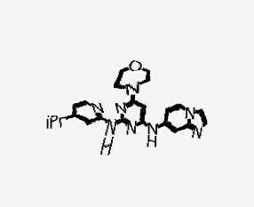 CC(C)c1ccnc(Nc2nc(Nc3ccn4ccnc4c3)cc(N3CCOCC3)n2)c1